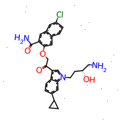 NC[C@H](O)CCn1cc(C(=O)COc2cc3ccc(Cl)cc3cc2C(N)=O)c2ccc(C3CC3)cc21